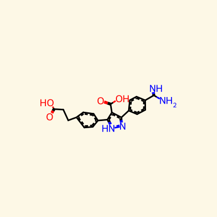 N=C(N)c1ccc(-c2n[nH]c(-c3ccc(CCC(=O)O)cc3)c2C(=O)O)cc1